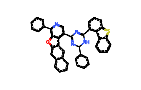 c1ccc(-c2ncc(C3=NC(c4ccccc4)NC(c4cccc5sc6ccccc6c45)=N3)c3c2oc2cc4ccccc4cc23)cc1